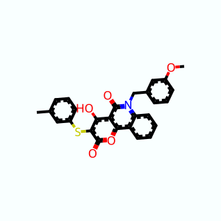 COc1cccc(Cn2c(=O)c3c(O)c(Sc4cccc(C)c4)c(=O)oc3c3ccccc32)c1